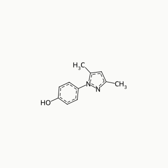 Cc1cc(C)n(-c2ccc(O)cc2)n1